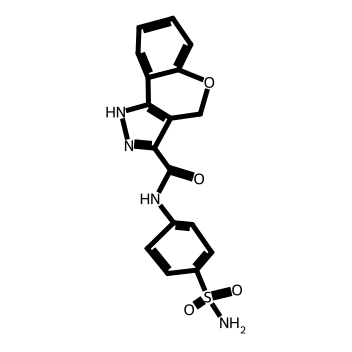 NS(=O)(=O)c1ccc(NC(=O)c2n[nH]c3c2COc2ccccc2-3)cc1